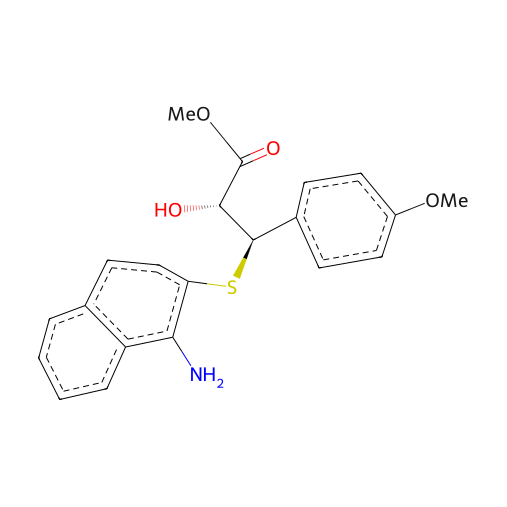 COC(=O)[C@@H](O)[C@H](Sc1ccc2ccccc2c1N)c1ccc(OC)cc1